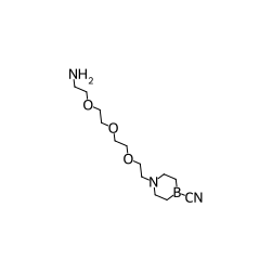 N#CB1CCN(CCOCCOCCOCCN)CC1